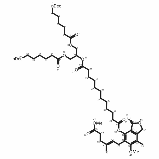 CCCCCCCCCCCCCCCC(=O)OCC(COC(=O)CCCCCCCCCCCCCCC)OC(=O)CCCCCCCCCCC(=O)Oc1c(C/C=C(\C)CCC(=O)OC)c(OC)c(C)c2c1C(=O)OC2